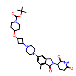 Cc1cc(N2CCN(C3CC(OC4CCN(C(=O)OC(C)(C)C)CC4)C3)CC2)cc2c1C(=O)N(C1CCC(=O)NC1=O)C2